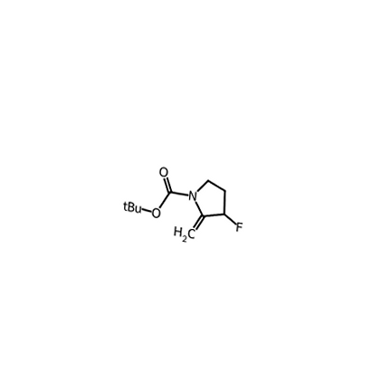 C=C1C(F)CCN1C(=O)OC(C)(C)C